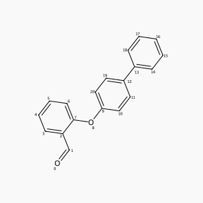 O=Cc1ccccc1Oc1ccc(-c2ccccc2)cc1